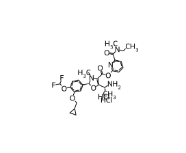 CCN(C)C(=O)c1cccc(OC(=O)C2=C([C@H](C)N)O[C@@H](c3ccc(OC(F)F)c(OCC4CC4)c3)N2C)n1.Cl.Cl